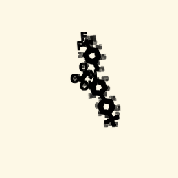 CC(C)(C)c1ccc(-c2ccc(N(Cc3ccc(C(F)(F)F)cc3)C(=O)C(=O)O)cc2)cc1